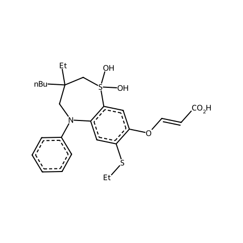 CCCCC1(CC)CN(c2ccccc2)c2cc(SCC)c(O/C=C/C(=O)O)cc2S(O)(O)C1